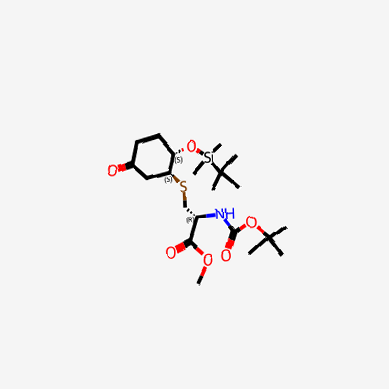 COC(=O)[C@H](CS[C@H]1CC(=O)CC[C@@H]1O[Si](C)(C)C(C)(C)C)NC(=O)OC(C)(C)C